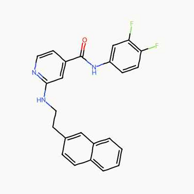 O=C(Nc1ccc(F)c(F)c1)c1ccnc(NCCc2ccc3ccccc3c2)c1